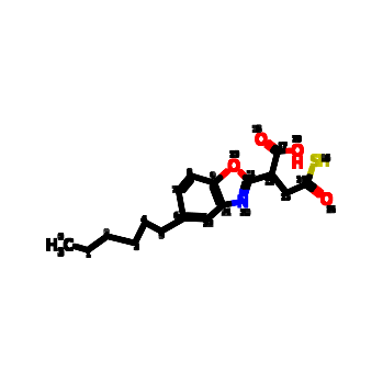 CCCCCCc1ccc2oc(C(CC(=O)S)C(=O)O)nc2c1